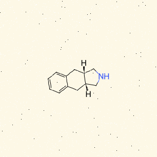 c1ccc2c(c1)C[C@H]1CNC[C@H]1C2